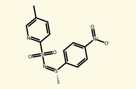 Cc1ccc(S(=O)(=O)N=[S@@](C)c2ccc([N+](=O)[O-])cc2)nc1